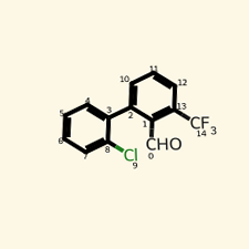 O=Cc1c(-c2ccccc2Cl)cccc1C(F)(F)F